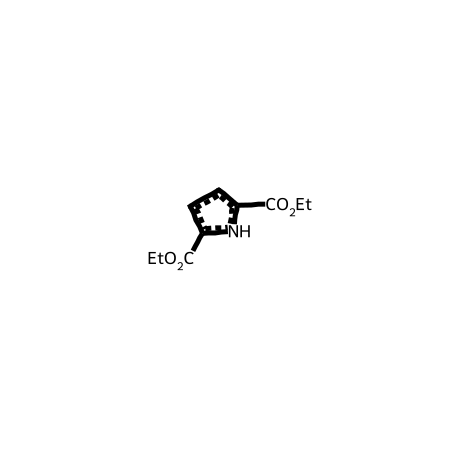 CCOC(=O)c1ccc(C(=O)OCC)[nH]1